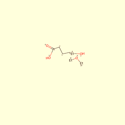 CCCC(=O)O.CCO.CCOCC